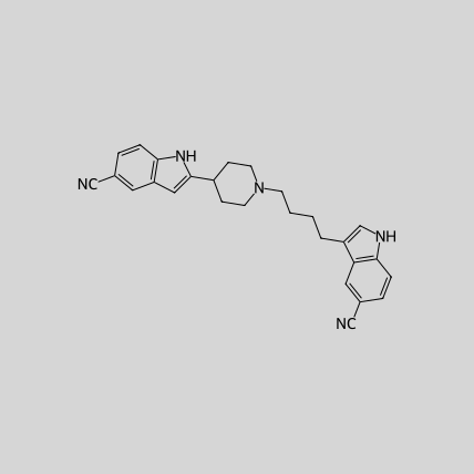 N#Cc1ccc2[nH]c(C3CCN(CCCCc4c[nH]c5ccc(C#N)cc45)CC3)cc2c1